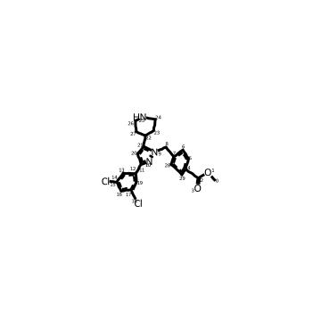 COC(=O)c1ccc(Cn2nc(-c3cc(Cl)cc(Cl)c3)cc2C2CCNCC2)cc1